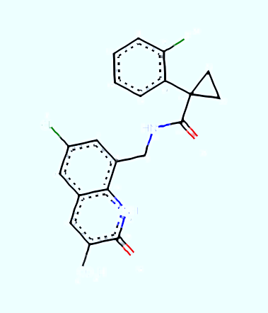 O=C(O)c1cc2cc(Cl)cc(CNC(=O)C3(c4ccccc4F)CC3)c2[nH]c1=O